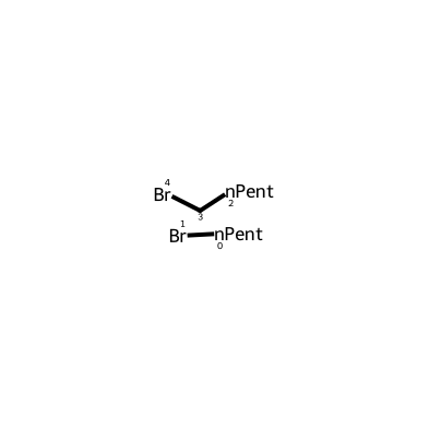 CCCCCBr.CCCCCCBr